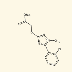 COC(=O)COc1nc(-c2ccccc2Cl)n(C)n1